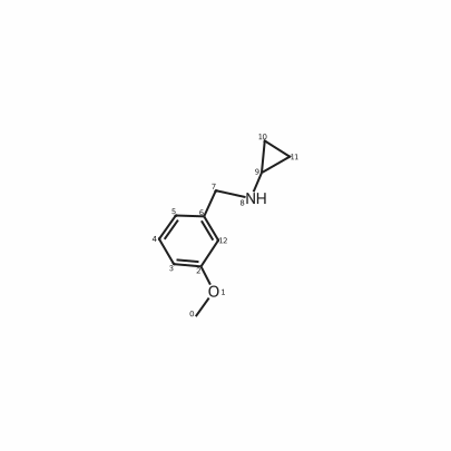 COc1cccc(CNC2CC2)c1